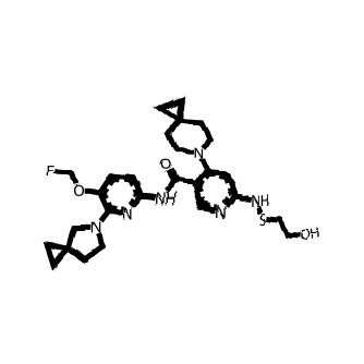 O=C(Nc1ccc(OCF)c(N2CCC3(CC3)C2)n1)c1cnc(NSCCO)cc1N1CCC2(CC1)CC2